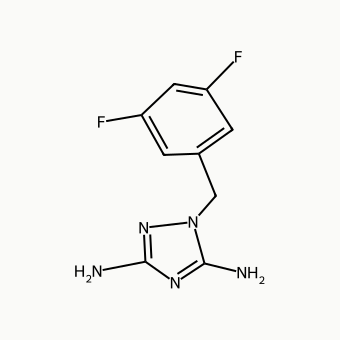 Nc1nc(N)n(Cc2cc(F)cc(F)c2)n1